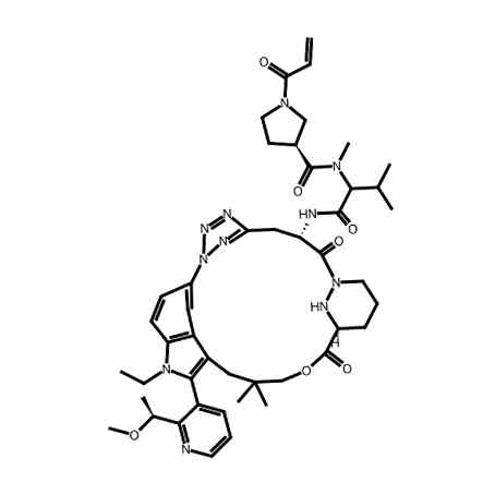 C=CC(=O)N1CC[C@H](C(=O)N(C)C(C(=O)N[C@H]2Cc3nnn(n3)-c3ccc4c(c3)c(c(-c3cccnc3[C@H](C)OC)n4CC)CC(C)(C)COC(=O)[C@@H]3CCCN(N3)C2=O)C(C)C)C1